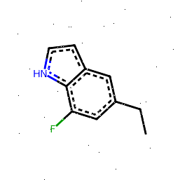 CCc1cc(F)c2[nH]ccc2c1